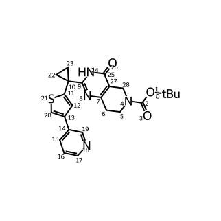 CC(C)(C)OC(=O)N1CCc2nc(C3(c4cc(-c5cccnc5)cs4)CC3)[nH]c(=O)c2C1